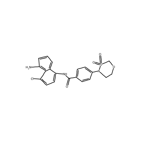 Nc1cccc2c(NC(=O)c3ccc(N4CCOCS4(=O)=O)cc3)ccc(Cl)c12